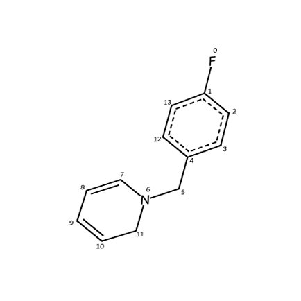 Fc1ccc(CN2C=CC=CC2)cc1